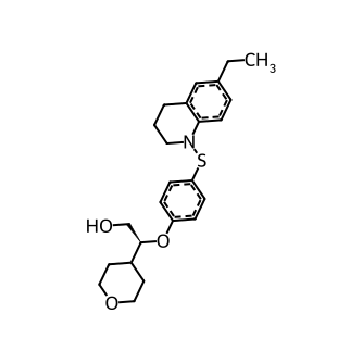 CCc1ccc2c(c1)CCCN2Sc1ccc(O[C@H](CO)C2CCOCC2)cc1